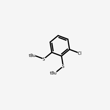 CC(C)(C)Sc1cccc(Cl)c1SC(C)(C)C